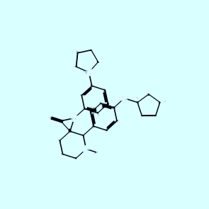 O=CN1CCCC2(C(=O)N2c2cccc(N3CCCC3)c2)C1c1ccc(NC2CCCC2)cc1